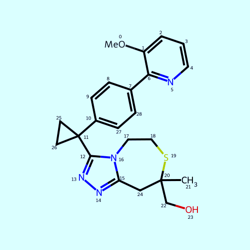 COc1cccnc1-c1ccc(C2(c3nnc4n3CCSC(C)(CO)C4)CC2)cc1